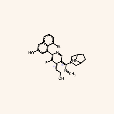 C=N/C(=C1/C=NC(c2cc(O)cc3cccc(CC)c23)=C(F)/C1=N/CO)N1CC2CCC(C1)N2